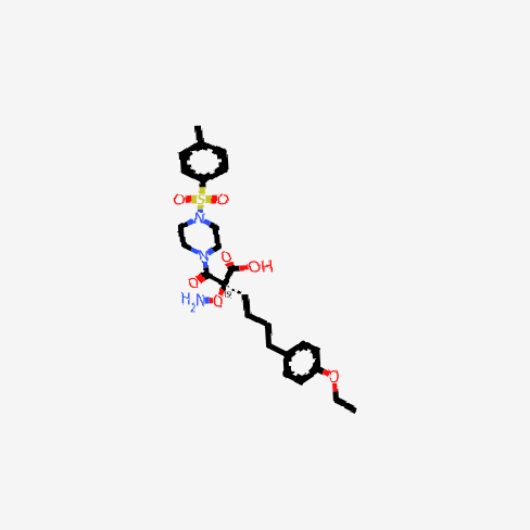 CCOc1ccc(CCCC[C@@](ON)(C(=O)O)C(=O)N2CCN(S(=O)(=O)c3ccc(C)cc3)CC2)cc1